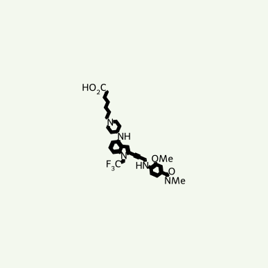 CNC(=O)c1ccc(NCC#Cc2cc3c(NC4CCN(CCCCCCC(=O)O)CC4)cccc3n2CC(F)(F)F)c(OC)c1